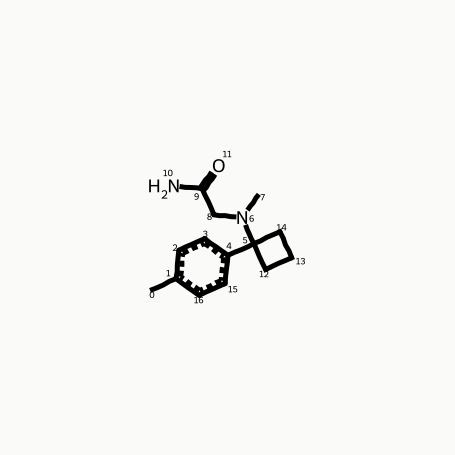 Cc1ccc(C2(N(C)CC(N)=O)CCC2)cc1